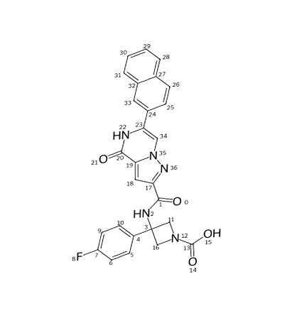 O=C(NC1(c2ccc(F)cc2)CN(C(=O)O)C1)c1cc2c(=O)[nH]c(-c3ccc4ccccc4c3)cn2n1